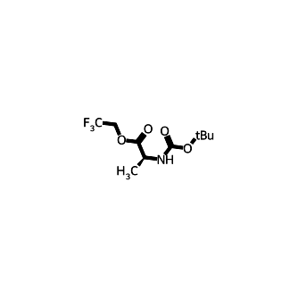 C[C@H](NC(=O)OC(C)(C)C)C(=O)OCC(F)(F)F